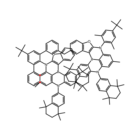 Cc1cc2c3c(c1)N(c1c(C)cc(C(C)(C)C)cc1C)c1oc4ccc(Cc5cccc(-c6cc(C(C)(C)C)cc(-c7ccccc7)c6N6c7cc(C)cc8c7B(c7cc9c(cc7N8c7ccc8c(c7)C(C)(C)CCC8(C)C)C(C)(C)CCC9(C)C)c7c6oc6ccccc76)c5)cc4c1B3c1cc3c(cc1N2c1ccc2c(c1)C(C)(C)CCC2(C)C)C(C)(C)CCC3(C)C